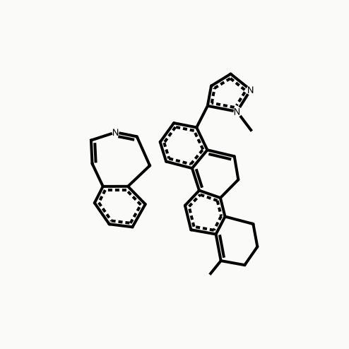 C1=Cc2ccccc2CC=N1.CC1=c2ccc3c(c2CCC1)CC=c1c(-c2ccnn2C)cccc1=3